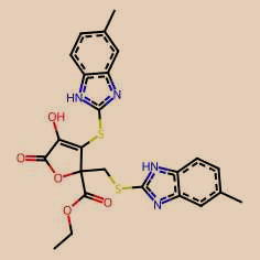 CCOC(=O)C1(CSc2nc3cc(C)ccc3[nH]2)OC(=O)C(O)=C1Sc1nc2cc(C)ccc2[nH]1